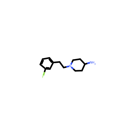 NC1CCN(CCc2cccc(F)c2)CC1